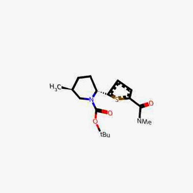 CNC(=O)c1ccc([C@H]2CC[C@H](C)CN2C(=O)OC(C)(C)C)s1